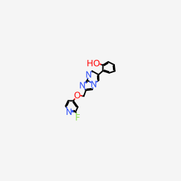 Oc1ccccc1-c1cnc2nc(COc3ccnc(F)c3)cn2c1